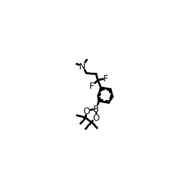 CN(C)CCC(F)(F)c1cccc(B2OC(C)(C)C(C)(C)O2)c1